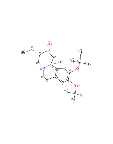 [2H]C([2H])([2H])Oc1cc2c(cc1OC([2H])([2H])[2H])[C@@H]1C[C@@H](O)[C@@H](CC(C)C)CN1CC2